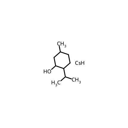 CC1CCC(C(C)C)C(O)C1.[CsH]